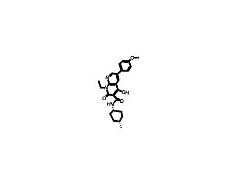 CCn1c(=O)c(C(=O)N[C@H]2CC[C@@H](C)CC2)c(O)c2cc(-c3ccc(OC)cc3)cnc21